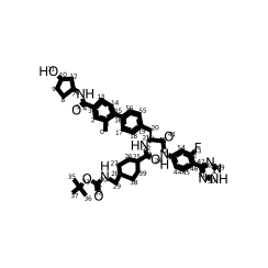 Cc1cc(C(=O)NC2CCC(O)C2)ccc1-c1ccc(C[C@H](NC(=O)C2CCC(CNC(=O)OC(C)(C)C)CC2)C(=O)Nc2ccc(-c3nn[nH]n3)c(F)c2)cc1